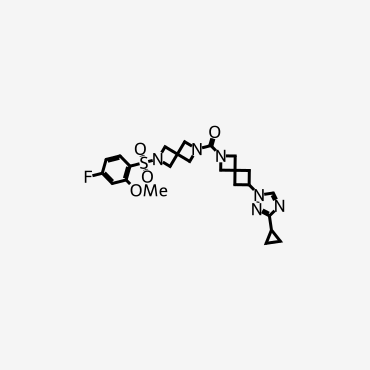 COc1cc(F)ccc1S(=O)(=O)N1CC2(CN(C(=O)N3CC4(CC(n5cnc(C6CC6)n5)C4)C3)C2)C1